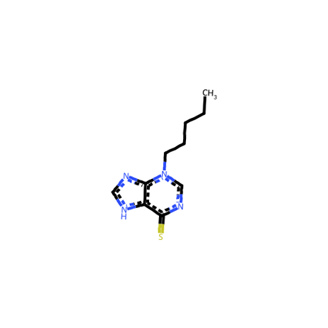 CCCCCn1cnc(=S)c2[nH]cnc21